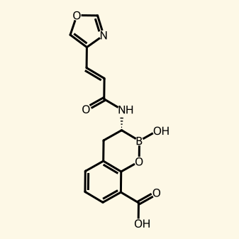 O=C(C=Cc1cocn1)N[C@H]1Cc2cccc(C(=O)O)c2OB1O